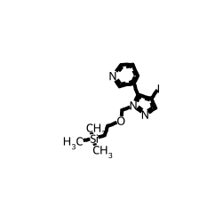 C[Si](C)(C)CCOCn1ncc(I)c1-c1cccnc1